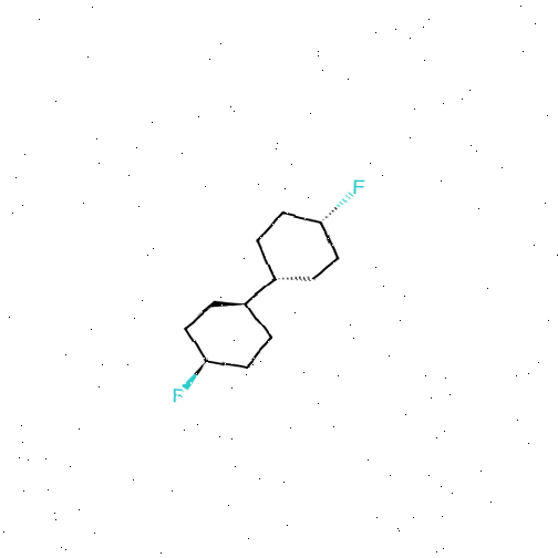 F[C@H]1CC[C@@H]([C@H]2CC[C@@H](F)CC2)CC1